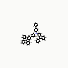 c1ccc(-c2ccc(N(c3ccc(-c4ccc([Si](c5ccccc5)(c5ccccc5)c5ccccc5)cc4)cc3)c3ccc4c(c3)C(c3ccccc3)c3ccccc3-4)cc2)cc1